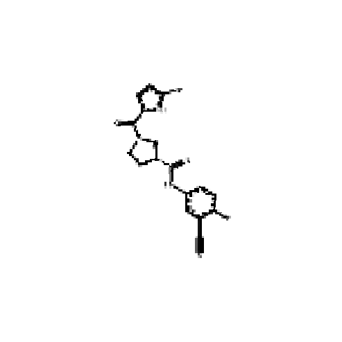 N#Cc1cc(NC(=O)[C@H]2CCN(C(=O)c3ccc(Br)[nH]3)C2)ccc1F